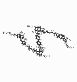 COCCOc1nc(N)c2nc(O)n(Cc3ccc(CNC(=O)CCCC(=O)Nc4ccc5cc(S(=O)(=O)O)cc(O)c5c4/N=N/c4ccc(-c5ccc(/N=N/c6c(NC(=O)CCCC(=O)NCc7ccc(Cn8c(O)nc9c(N)nc(OCCOC)nc98)cc7)ccc7cc(S(=O)(=O)O)cc(O)c67)cc5)cc4)cc3)c2n1